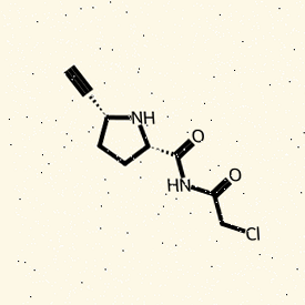 C#C[C@H]1CC[C@@H](C(=O)NC(=O)CCl)N1